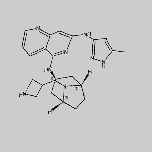 Cc1cc(Nc2cc3ncccc3c(N[C@@H]3C[C@H]4CC[C@@H](C3)N4CC3CNC3)n2)n[nH]1